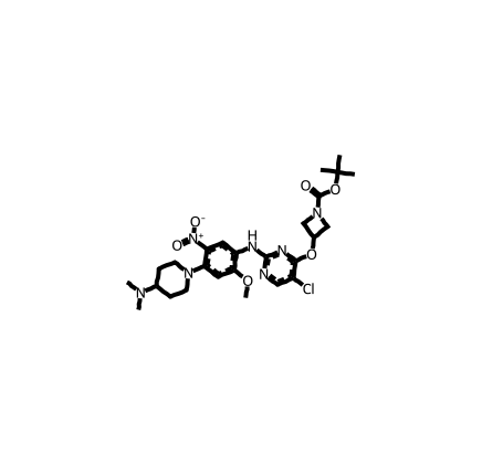 COc1cc(N2CCC(N(C)C)CC2)c([N+](=O)[O-])cc1Nc1ncc(Cl)c(OC2CN(C(=O)OC(C)(C)C)C2)n1